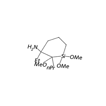 CCCC1(OC)C(N)(CC)CCC[Si]1(OC)OC